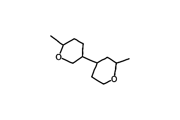 CC1CCC(C2CCOC(C)C2)CO1